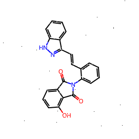 O=C1c2cccc(O)c2C(=O)N1c1ccccc1C=Cc1n[nH]c2ccccc12